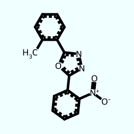 Cc1ccccc1-c1nnc(-c2ccccc2[N+](=O)[O-])o1